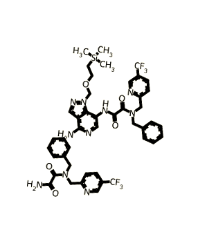 C[Si](C)(C)CCOCn1ncc2c(N)ncc(NC(=O)C(=O)N(Cc3ccccc3)Cc3ccc(C(F)(F)F)cn3)c21.NC(=O)C(=O)N(Cc1ccccc1)Cc1ccc(C(F)(F)F)cn1